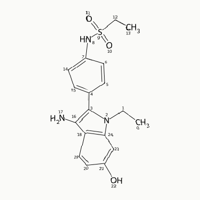 CCn1c(-c2ccc(NS(=O)(=O)CC)cc2)c(N)c2ccc(O)cc21